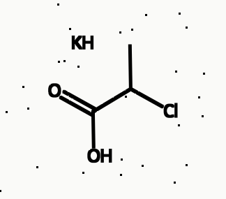 CC(Cl)C(=O)O.[KH]